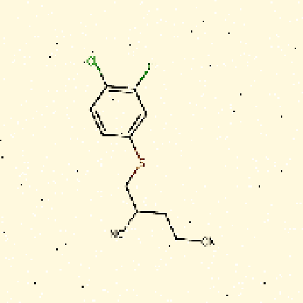 N#CCCC(C#N)CSc1ccc(Cl)c(Cl)c1